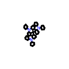 c1ccc(N(c2ccccc2)c2cccc(C3(c4cccc(N(c5ccccc5)c5ccccc5)c4)c4ccccc4N(c4ccccc4)c4ccccc43)c2)cc1